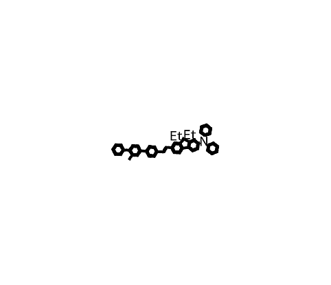 CCC1(CC)c2cc(/C=C/c3ccc(-c4ccc(-c5ccccc5)c(C)c4)cc3)ccc2-c2ccc(N(c3ccccc3)c3ccccc3)cc21